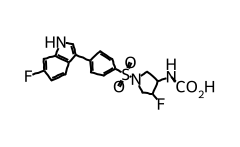 O=C(O)NC1CN(S(=O)(=O)c2ccc(-c3c[nH]c4cc(F)ccc34)cc2)CC1F